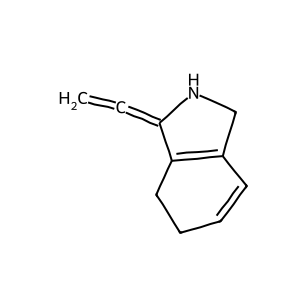 C=C=C1NCC2=C1CCC=C2